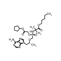 CCCCCOC(=O)C(C)(C)NP(=O)(CO[C@H](C)Cn1cnc2c(N)ncnc21)OCC(=O)OC1CCCC1